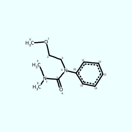 COCCN(C(=O)N(C)C)c1ccccc1